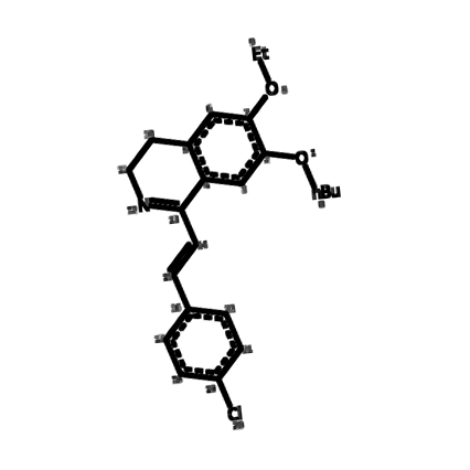 CCCCOc1cc2c(cc1OCC)CCN=C2C=Cc1ccc(Cl)cc1